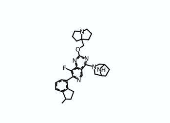 CC1CCc2c(-c3ncc4c(N5CC6CCC(C5)N6)nc(OCC56CCCN5CCC6)nc4c3F)cccc21